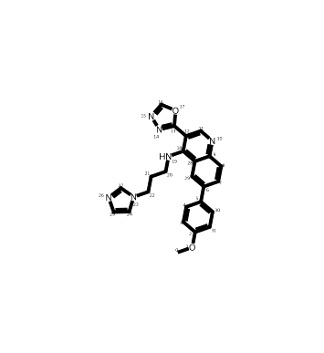 COc1ccc(-c2ccc3ncc(-c4nnco4)c(NCCCn4ccnc4)c3c2)cc1